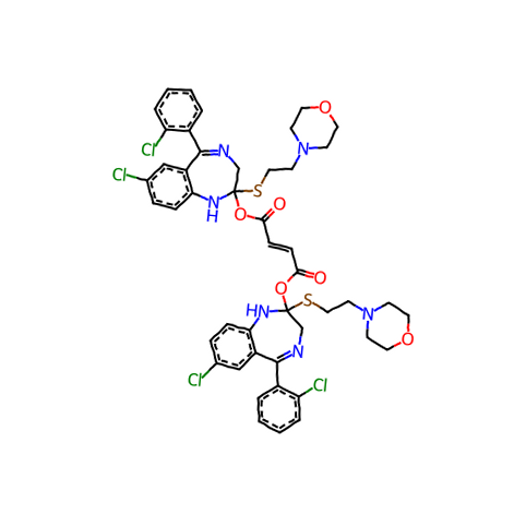 O=C(/C=C/C(=O)OC1(SCCN2CCOCC2)CN=C(c2ccccc2Cl)c2cc(Cl)ccc2N1)OC1(SCCN2CCOCC2)CN=C(c2ccccc2Cl)c2cc(Cl)ccc2N1